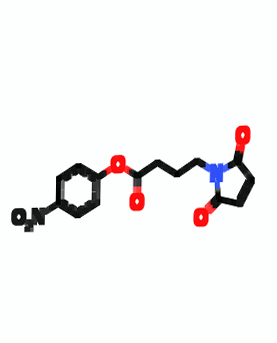 O=C(CCCN1C(=O)C=CC1=O)Oc1ccc([N+](=O)[O-])cc1